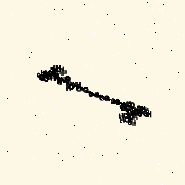 CC(C)(C)OC(=O)C[C@H](NC(=O)CN1C(=O)C=CC1=O)C(=O)NCC(=O)NCC(=O)NCC(=O)NCC(=O)NCCOCCOCCOCCOCCOCCOCCOCCOCCC(=O)N[C@@H](CCC(=O)NC[C@H](O)[C@@H](O)[C@H](O)[C@H](O)CO)C(=O)NC[C@H](O)[C@@H](O)[C@H](O)[C@H](O)CO